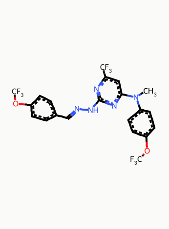 CN(c1ccc(OC(F)(F)F)cc1)c1cc(C(F)(F)F)nc(NN=Cc2ccc(OC(F)(F)F)cc2)n1